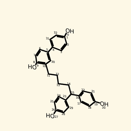 Oc1ccc(-c2ccc(O)c(CCCCC(c3ccc(O)cc3)c3ccc(O)cc3)c2)cc1